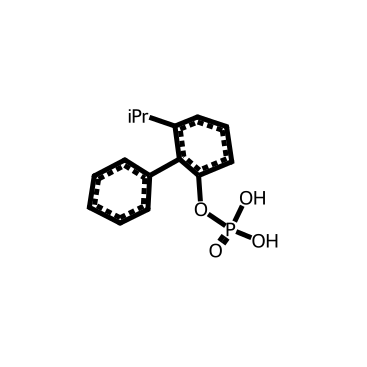 CC(C)c1cccc(OP(=O)(O)O)c1-c1ccccc1